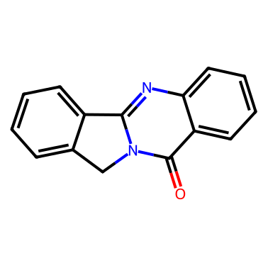 O=c1c2ccccc2nc2n1Cc1ccccc1-2